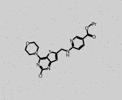 CC(C)OC(=O)c1ccc(NCc2cc3nc(Cl)nc(N4CCOCC4)c3s2)nc1